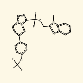 Cn1c(COC(F)(F)c2nnc3ccc(-c4ccc(OC(F)(F)F)cc4)cn23)nc2ccccc21